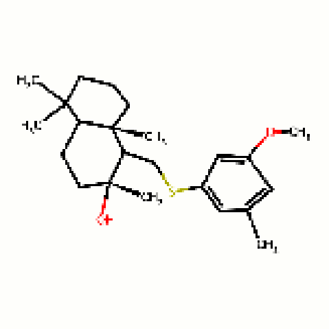 COc1cc(C)cc(SCC2[C@@]3(C)CCCC(C)(C)C3CC[C@@]2(C)O)c1